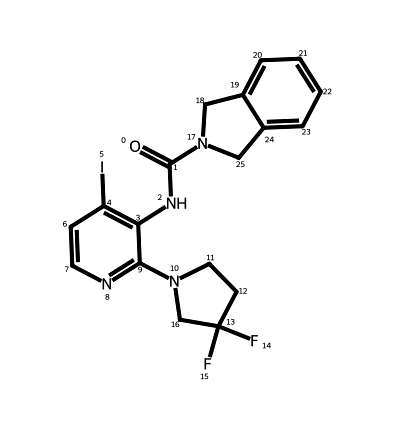 O=C(Nc1c(I)ccnc1N1CCC(F)(F)C1)N1Cc2ccccc2C1